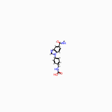 CNC(=O)c1ccc2c(c1)ncn2-c1ccc(CNC(=O)O)cc1